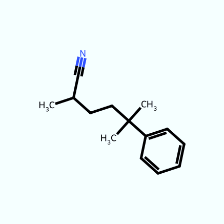 CC(C#N)CCC(C)(C)c1ccccc1